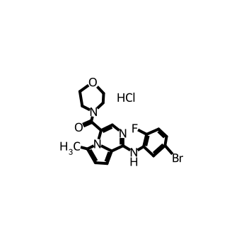 Cc1ccc2c(Nc3cc(Br)ccc3F)ncc(C(=O)N3CCOCC3)n12.Cl